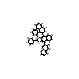 C1=CCC2C=C(c3c4ccccc4c(-c4ccc5ccccc5c4)c4c3nc(-c3ccccc3)n4-c3ccccc3)C=CC2=C1